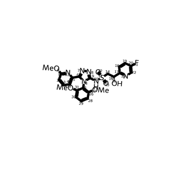 COc1cccc(-c2nnc(NS(=O)(=O)C[C@@H](O)c3ccc(F)cn3)n2-c2c(OC)cccc2OC)n1